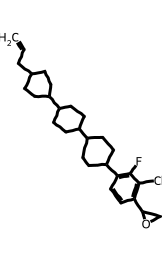 C=CCC1CCC(C2CCC(C3CCC(c4ccc(C5CO5)c(Cl)c4F)CC3)CC2)CC1